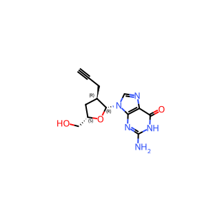 C#CC[C@@H]1C[C@@H](CO)O[C@H]1n1cnc2c(=O)[nH]c(N)nc21